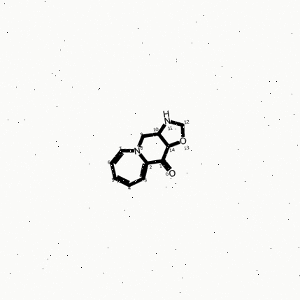 O=C1C2=CC=CC=CN2CC2NCOC12